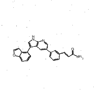 NC(=O)C=Cc1cccc(-c2cnc3[nH]cc(-c4cccc5occc45)c3c2)c1